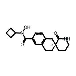 O=C(c1ccc2c(c1)CC[C@@]1(CCCNC1=O)C2)N(O)C1CCC1